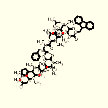 CC(C)C[C@H](NC(=O)[C@H](Cc1ccccc1)N(C)C(=O)[C@H](CC(C)C)N(C)C(=O)[C@H](C)NC(=O)[C@H](CC(C)C)N(C)C(=O)[C@H](C)N(C)C(=O)OCC1c2ccccc2-c2ccccc21)C(=O)N(C)[C@@H](C)C(=O)N[C@@H](C)C(=O)N(C)C(C(=O)N(C)[C@@H](CC(=O)O)C(=O)N(C)C)C1CCCC1